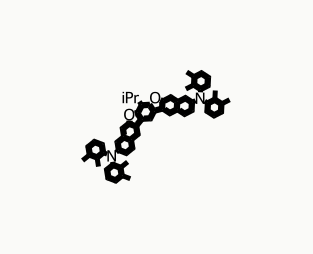 Cc1cccc(N(c2ccc3cc4c(cc3c2)oc2c(C(C)C)c3oc5cc6cc(N(c7cccc(C)c7C)c7cccc(C)c7C)ccc6cc5c3cc24)c2cccc(C)c2C)c1C